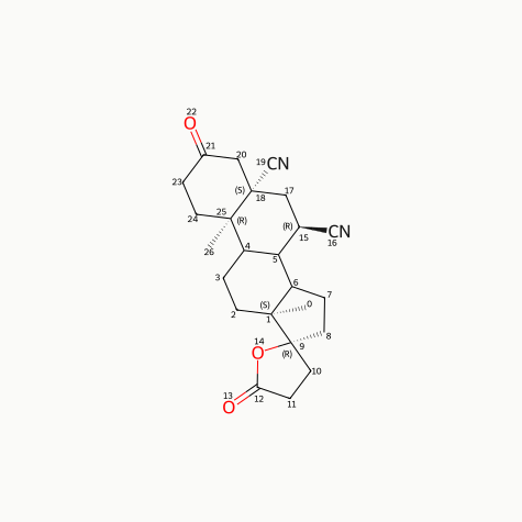 C[C@]12CCC3C(C1CC[C@@]21CCC(=O)O1)[C@H](C#N)C[C@]1(C#N)CC(=O)CC[C@]31C